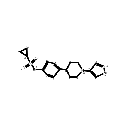 O=S(=O)(Nc1ccc(C2CCN(c3cn[nH]c3)CC2)cc1)C1CC1